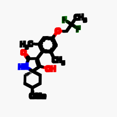 CO[C@H]1CC[C@]2(CC1)NC(=O)C(c1c(C)cc(OCC(C)(F)F)cc1C)=C2O